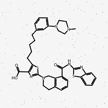 CN1CCN(c2cccc(CCCCCc3sc(N4CCc5cccc(C(=O)Nc6nc7ccccc7s6)c5C4)nc3C(=O)O)c2)CC1